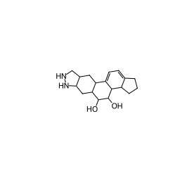 OC1C(O)C2C(=CC=C3CCCC32)C2CC3CNNC3CC21